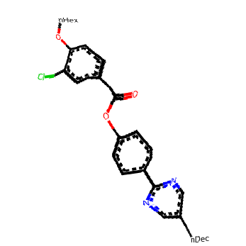 CCCCCCCCCCc1cnc(-c2ccc(OC(=O)c3ccc(OCCCCCC)c(Cl)c3)cc2)nc1